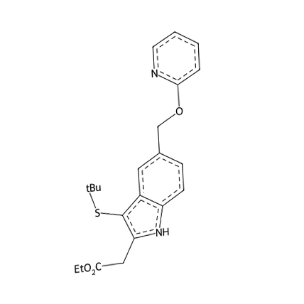 CCOC(=O)Cc1[nH]c2ccc(COc3ccccn3)cc2c1SC(C)(C)C